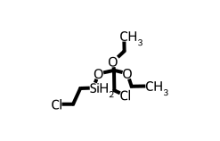 CCOC(CCl)(OCC)O[SiH2]CCCl